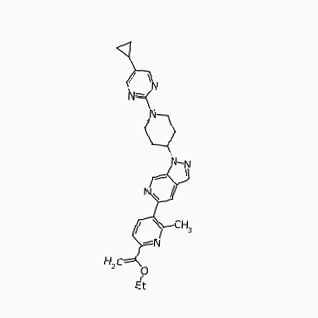 C=C(OCC)c1ccc(-c2cc3cnn(C4CCN(c5ncc(C6CC6)cn5)CC4)c3cn2)c(C)n1